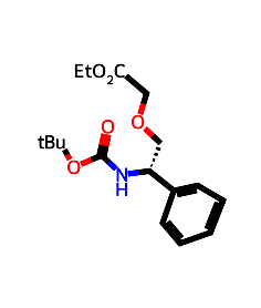 CCOC(=O)COC[C@@H](NC(=O)OC(C)(C)C)c1ccccc1